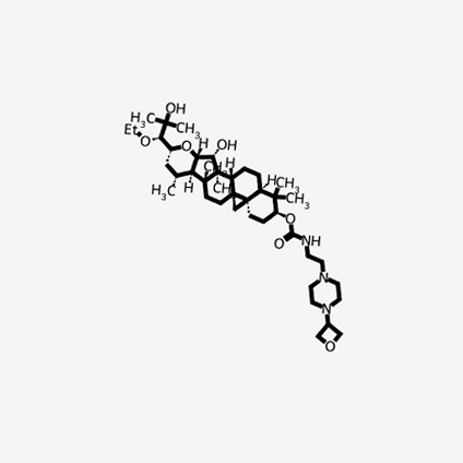 CCO[C@@H]([C@H]1C[C@@H](C)[C@H]2[C@H](O1)[C@H](O)[C@@]1(C)[C@@H]3CC[C@H]4C(C)(C)[C@@H](OC(=O)NCCN5CCN(C6COC6)CC5)CC[C@@]45C[C@@]35CC[C@]21C)C(C)(C)O